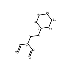 [CH]=CC(C=C)CCC1CCCCC1